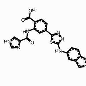 O=C(Nc1cc(-c2nnc(Nc3ccc4[nH]ncc4c3)s2)ccc1C(=O)O)c1c[nH]cn1